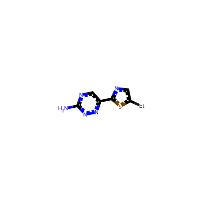 CCc1cnc(-c2cnc(N)nn2)s1